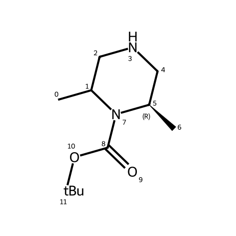 CC1CNC[C@@H](C)N1C(=O)OC(C)(C)C